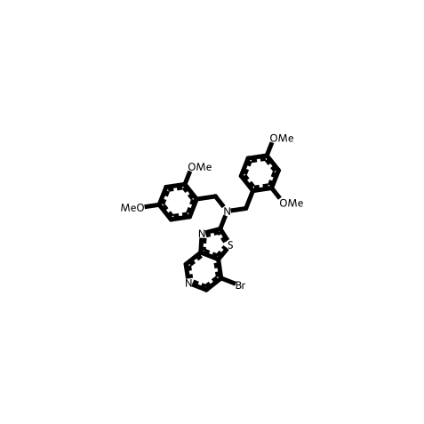 COc1ccc(CN(Cc2ccc(OC)cc2OC)c2nc3cncc(Br)c3s2)c(OC)c1